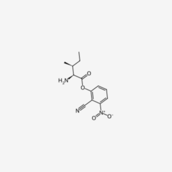 CC[C@H](C)[C@H](N)C(=O)Oc1cccc([N+](=O)[O-])c1C#N